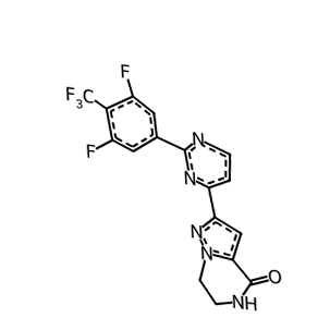 O=C1NCCn2nc(-c3ccnc(-c4cc(F)c(C(F)(F)F)c(F)c4)n3)cc21